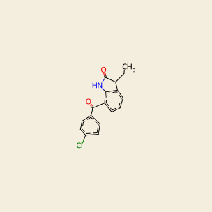 CCC1C(=O)Nc2c(C(=O)c3ccc(Cl)cc3)cccc21